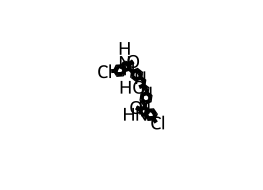 O=c1[nH]c2cc(Cl)ccc2n1C1CCN(CC(O)CN2CCC(n3c(=O)[nH]c4cc(Cl)ccc43)CC2)CC1